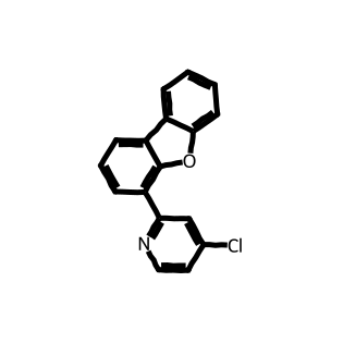 Clc1ccnc(-c2cccc3c2oc2ccccc23)c1